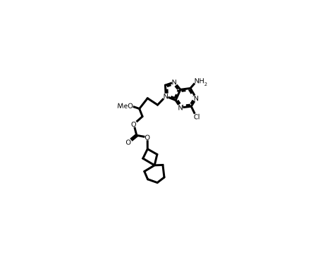 COC(CCn1cnc2c(N)nc(Cl)nc21)COC(=O)OC1CC2(CCCCC2)C1